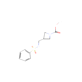 CC(C)(C)OC(=O)N1CC(CNS(=O)(=O)c2ccccc2)C1